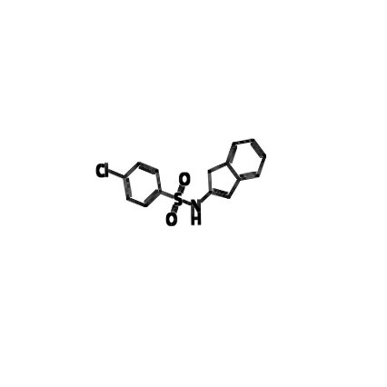 O=S(=O)(NC1=Cc2ccccc2C1)c1ccc(Cl)cc1